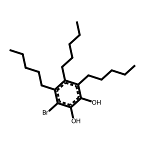 CCCCCc1c(O)c(O)c(Br)c(CCCCC)c1CCCCC